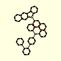 c1ccc(-c2ccccc2-c2ccc(N(c3ccccc3-c3ccccc3)c3ccccc3-c3ccc(-n4c5ccccc5c5cc6ccccc6cc54)cc3)cc2)cc1